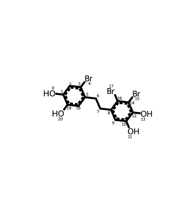 Oc1cc(Br)c(CCc2cc(O)c(O)c(Br)c2Br)cc1O